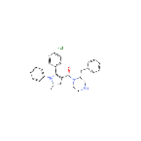 Cc1cc(C(=O)N2CCNC[C@H]2Cc2ccccc2)c(-c2ccccc2)n1-c1ccccc1.Cl